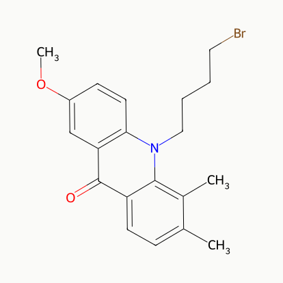 COc1ccc2c(c1)c(=O)c1ccc(C)c(C)c1n2CCCCBr